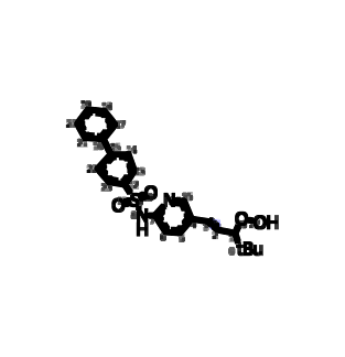 CC(C)(C)C(/C=C/c1ccc(NS(=O)(=O)c2ccc(-c3ccccc3)cc2)nc1)OO